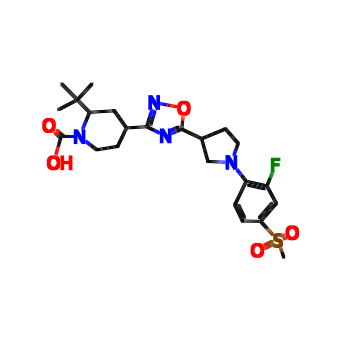 CC(C)(C)C1CC(c2noc(C3CCN(c4ccc(S(C)(=O)=O)cc4F)C3)n2)CCN1C(=O)O